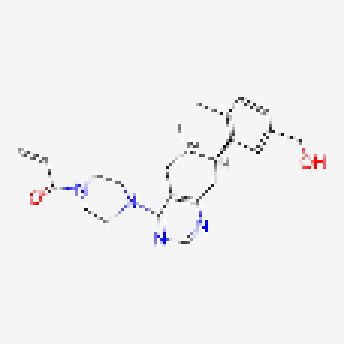 C=CC(=O)N1CCN(c2ncnc3c2C[C@H](C)[C@@H](c2cc(CO)ccc2C)C3)CC1